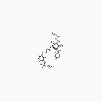 CCOC(=O)C(C)(C)Oc1cccc(CCCCCn2nc(Cc3ccccc3)c(=O)n(CCCC(F)(F)F)c2=O)c1